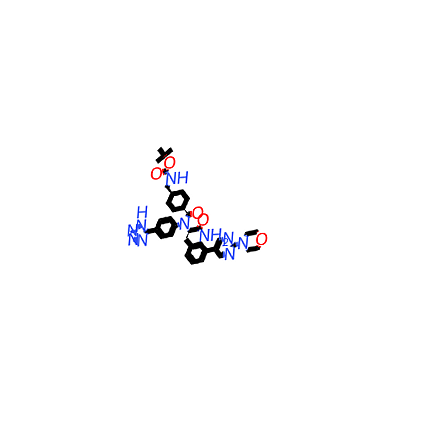 CC(C)(C)OC(=O)NC[C@H]1CC[C@H](C(=O)N(c2ccc(-c3nnn[nH]3)cc2)[C@@H](Cc2cccc(-c3cnc(N4CCOCC4)nc3)c2)C(N)=O)CC1